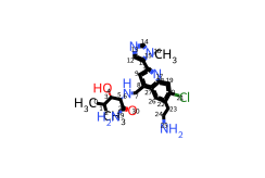 CC(C)[C@@H](O)[C@H](NCc1cc(-c2cncn2C)nc2cc(Cl)c(CCN)cc12)C(N)=O